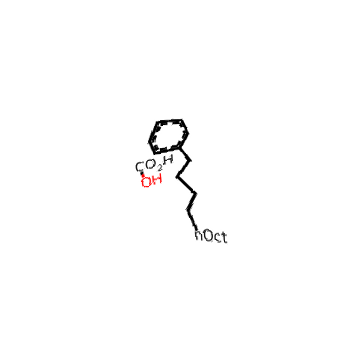 CCCCCCCCCCCCc1ccccc1.O=C(O)O